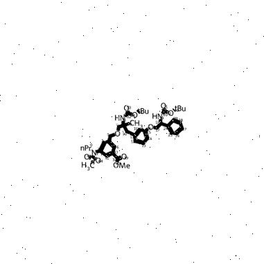 CCCN(c1cc(COCC(C)(Cc2cccc(OCC(NC(=O)OC(C)(C)C)c3ccccc3)c2)NC(=O)OC(C)(C)C)cc(C(=O)OC)c1)S(C)(=O)=O